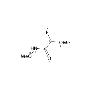 CONC(=O)C(F)OC